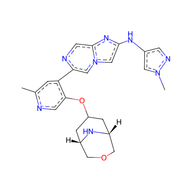 Cc1cc(-c2cn3cc(Nc4cnn(C)c4)nc3cn2)c(OC2C[C@H]3COC[C@@H](C2)N3)cn1